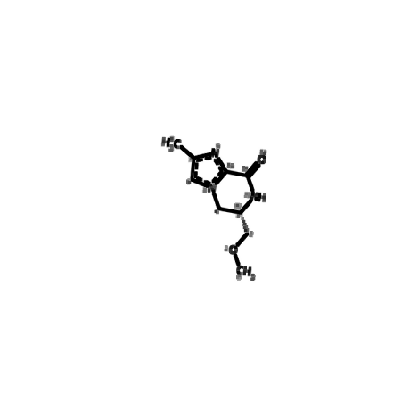 COC[C@@H]1Cn2cc(C)nc2C(=O)N1